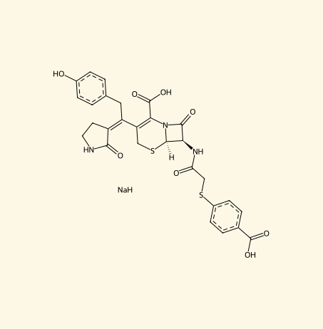 O=C(CSc1ccc(C(=O)O)cc1)N[C@@H]1C(=O)N2C(C(=O)O)=C(C(Cc3ccc(O)cc3)=C3CCNC3=O)CS[C@H]12.[NaH]